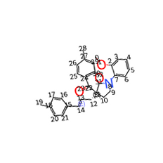 COc1ccccc1N1CC[C@@](C/C=C/c2ccc(C)cc2)(C(=O)c2ccc(C)cc2)C1=O